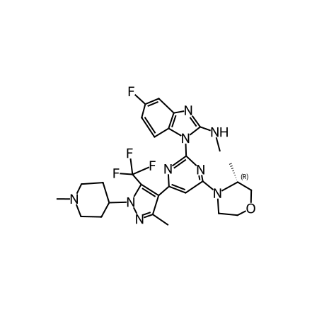 CNc1nc2cc(F)ccc2n1-c1nc(-c2c(C)nn(C3CCN(C)CC3)c2C(F)(F)F)cc(N2CCOC[C@H]2C)n1